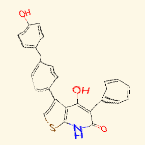 O=c1[nH]c2scc(-c3ccc(-c4ccc(O)cc4)cc3)c2c(O)c1-c1ccccc1